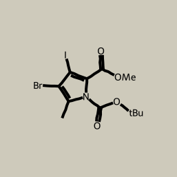 COC(=O)c1c(I)c(Br)c(C)n1C(=O)OC(C)(C)C